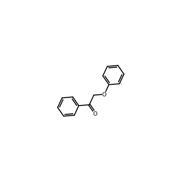 O=C(COc1[c]cccc1)c1ccccc1